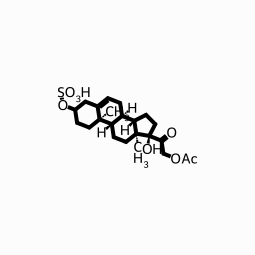 CC(=O)OCC(=O)[C@@]1(O)CC[C@H]2[C@@H]3CC=C4CC(OS(=O)(=O)O)CC[C@]4(C)[C@H]3CC[C@@]21C